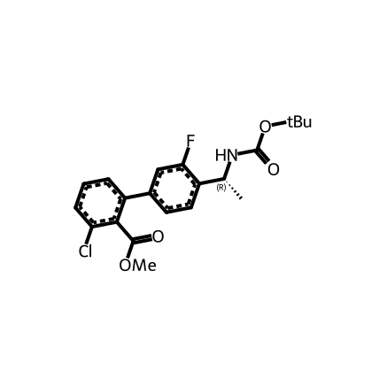 COC(=O)c1c(Cl)cccc1-c1ccc([C@@H](C)NC(=O)OC(C)(C)C)c(F)c1